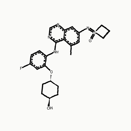 Cc1cc(N=S2(=O)CCC2)cc2ncnc(Nc3ccc(F)cc3O[C@H]3CC[C@H](O)CC3)c12